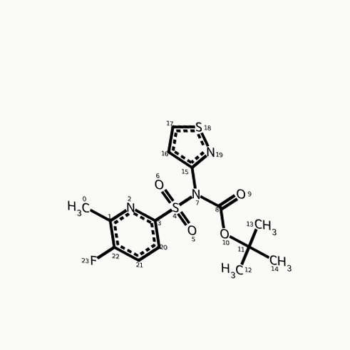 Cc1nc(S(=O)(=O)N(C(=O)OC(C)(C)C)c2ccsn2)ccc1F